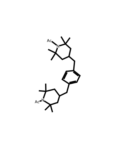 CC(=O)N1C(C)(C)CC(Cc2ccc(CC3CC(C)(C)N(C(C)=O)C(C)(C)C3)cc2)CC1(C)C